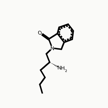 CCCC[C@@H](N)CN1Cc2ccccc2C1=O